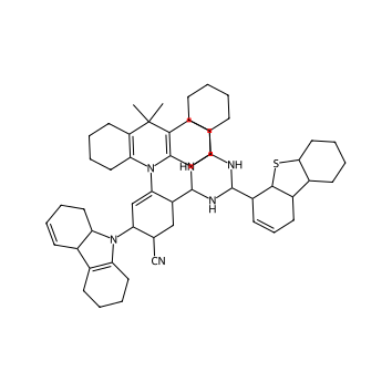 CC1(C)C2=C(CCCC2)N(C2=CC(N3C4=C(CCCC4)C4C=CCCC43)C(C#N)CC2C2NC(C3CCCCC3)NC(C3C=CCC4C5CCCCC5SC34)N2)C2=C1CCCC2